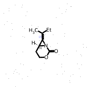 CC/C(C)=C1/[C@@H]2CCOC(=O)N12